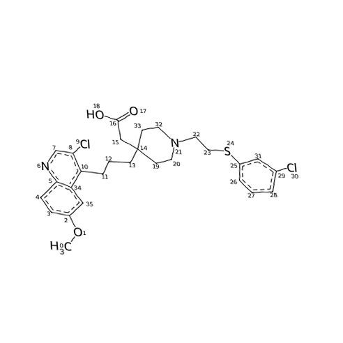 COc1ccc2ncc(Cl)c(CCCC3(CC(=O)O)CCN(CCSc4cccc(Cl)c4)CC3)c2c1